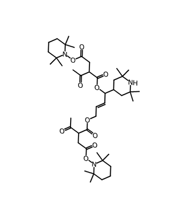 CC(=O)C(CC(=O)ON1C(C)(C)CCCC1(C)C)C(=O)OCC=CC(OC(=O)C(CC(=O)ON1C(C)(C)CCCC1(C)C)C(C)=O)C1CC(C)(C)NC(C)(C)C1